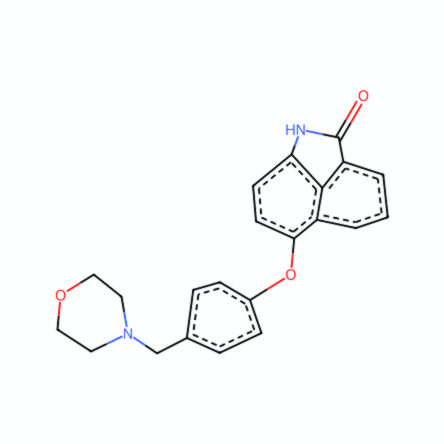 O=C1Nc2ccc(Oc3ccc(CN4CCOCC4)cc3)c3cccc1c23